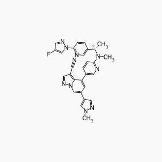 C[C@@H](c1ccc(-n2cc(F)cn2)nc1)N(C)c1ccc(-c2cc(-c3cnn(C)c3)cn3ncc(C#N)c23)cn1